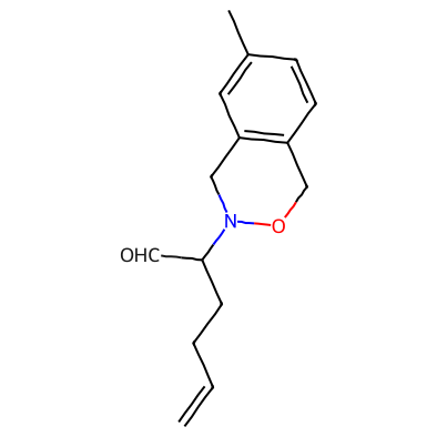 C=CCCC(C=O)N1Cc2cc(C)ccc2CO1